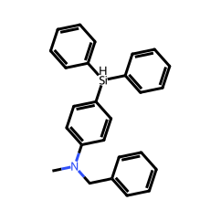 CN(Cc1ccccc1)c1ccc([SiH](c2ccccc2)c2ccccc2)cc1